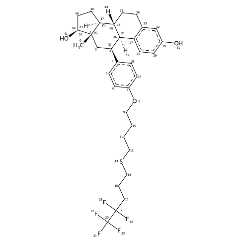 C[C@]12C[C@H](c3ccc(OCCCCSCCCC(F)(F)C(F)(F)F)cc3)[C@@H]3c4ccc(O)cc4CC[C@H]3[C@@H]1CC[C@@H]2O